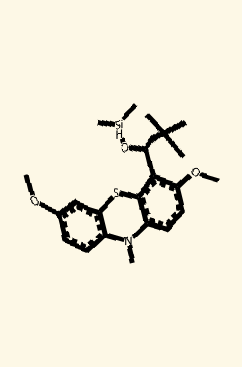 COc1[c]c2c(cc1)N(C)c1ccc(OC)c(C(O[SiH](C)C)C(C)(C)C)c1S2